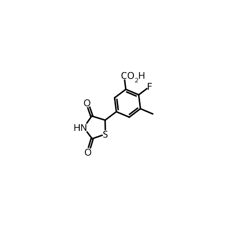 Cc1cc(C2SC(=O)NC2=O)cc(C(=O)O)c1F